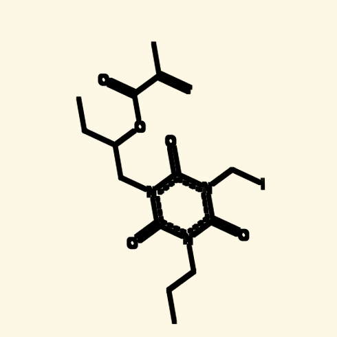 C=C(C)C(=O)OC(CC)Cn1c(=O)n(CI)c(=O)n(CCC)c1=O